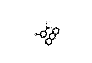 O=C(OO)c1cccc(Cl)c1.c1ccc2nc3ccccc3cc2c1